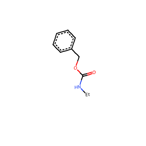 [CH]CNC(=O)OCc1ccccc1